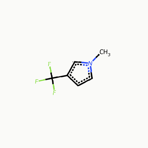 Cn1[c]c(C(F)(F)F)cc1